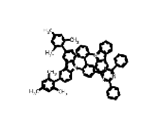 Cc1cc(C)c(-c2ccc3c(c2)c2cc(-c4c(C)cc(C)cc4C)ccc2n3-c2ccc(-c3nc(-c4ccccc4)nc(-c4ccccc4)n3)cc2-c2ccccc2-n2c3ccccc3c3ccccc32)c(C)c1